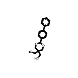 OCC1(CO)COC(c2ccc(-c3ccccc3)cc2)OC1